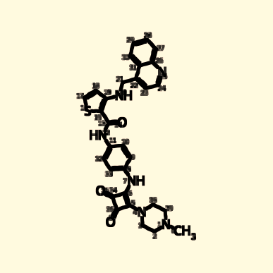 CN1CCN(c2c(Nc3ccc(NC(=O)c4sccc4NCc4ccnc5ccccc45)cc3)c(=O)c2=O)CC1